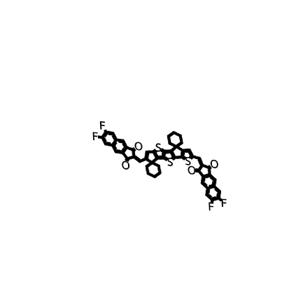 O=C1C(=CC2=Cc3sc4c5c(sc4c3C23CCCCC3)-c2sc(C=C3C(=O)c4cc6cc(F)c(F)cc6cc4C3=O)cc2C52CCCCC2)C(=O)c2cc3cc(F)c(F)cc3cc21